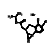 Br.CC(C)OC(=O)CN1Cc2c(ccc(Cl)c2Cl)N2NC12